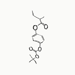 CCC(C)C(=O)Oc1ccc(OC(=O)OC(C)(C)C)cc1